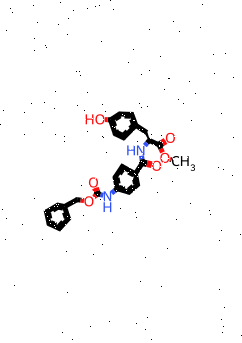 COC(=O)[C@H](Cc1ccc(O)cc1)NC(=O)c1ccc(NC(=O)OCc2ccccc2)cc1